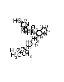 CC(C)(C)OC(=O)NCC1CCN(c2cc3ncccc3cc2NC(=O)c2cnn3cc(O)cnc23)CC1